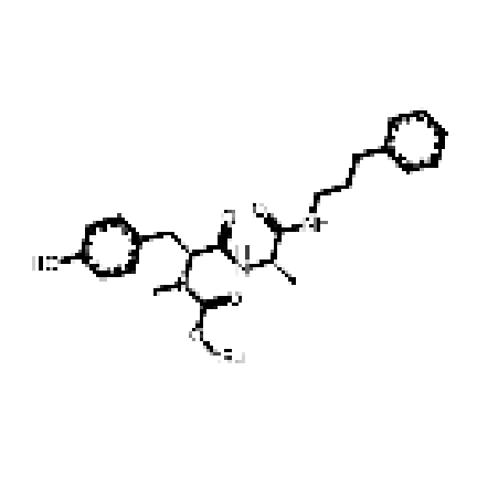 C[C@@H](NC(=O)[C@H](Cc1ccc(O)cc1)N(C)C(=O)OC(C)(C)C)C(=O)NCCCc1ccccc1